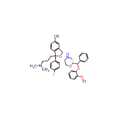 CCOc1ccccc1O[C@H](c1ccccc1)[C@H]1CNCCO1.CN(C)CCCC1(c2ccc(F)cc2)OCc2cc(C#N)ccc21